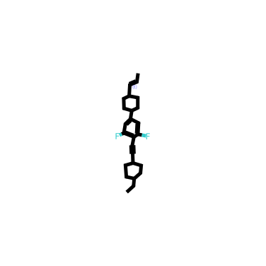 C/C=C/C1CCC(c2cc(F)c(C#CC3CCC(CC)CC3)c(F)c2)CC1